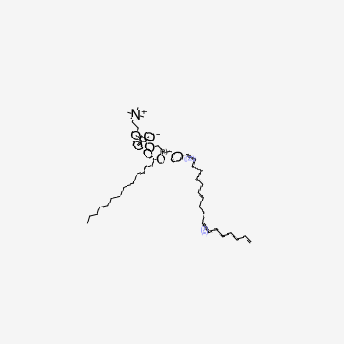 CCCCCC/C=C\CCCCCCCC/C=C\OC[C@H](COP(=O)([O-])OCC[N+](C)(C)C)OC(=O)CCCCCCCCCCCCC